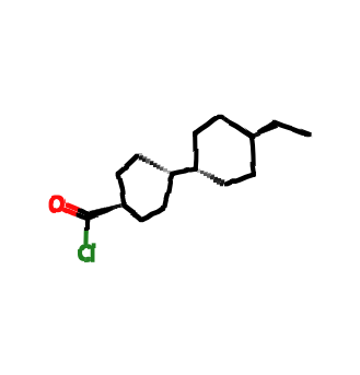 CC[C@H]1CC[C@H]([C@H]2CC[C@H](C(=O)Cl)CC2)CC1